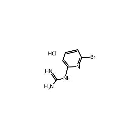 Cl.N=C(N)Nc1cccc(Br)n1